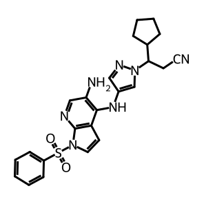 N#CCC(C1CCCC1)n1cc(Nc2c(N)cnc3c2ccn3S(=O)(=O)c2ccccc2)cn1